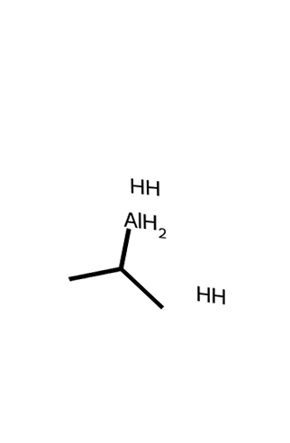 C[CH](C)[AlH2].[HH].[HH]